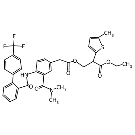 CCOC(=O)C(COC(=O)Cc1ccc(NC(=O)c2ccccc2-c2ccc(C(F)(F)F)cc2)c(C(=O)N(C)C)c1)c1ccc(C)s1